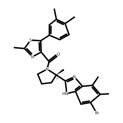 Cc1nc(C(=O)N2CCC[C@@]2(C)c2nc3c(C)c(C)c(Br)cc3[nH]2)c(-c2ccc(C)c(C)c2)s1